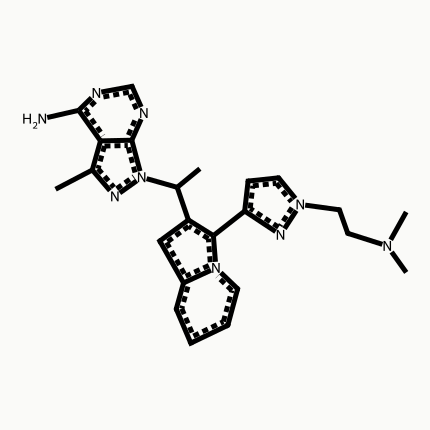 Cc1nn(C(C)c2cc3ccccn3c2-c2ccn(CCN(C)C)n2)c2ncnc(N)c12